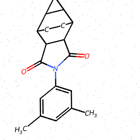 Cc1cc(C)cc(N2C(=O)C3C4CCC(C5CC54)C3C2=O)c1